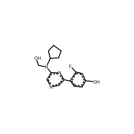 OCN(c1cncc(-c2ccc(O)cc2F)n1)C1CCCC1